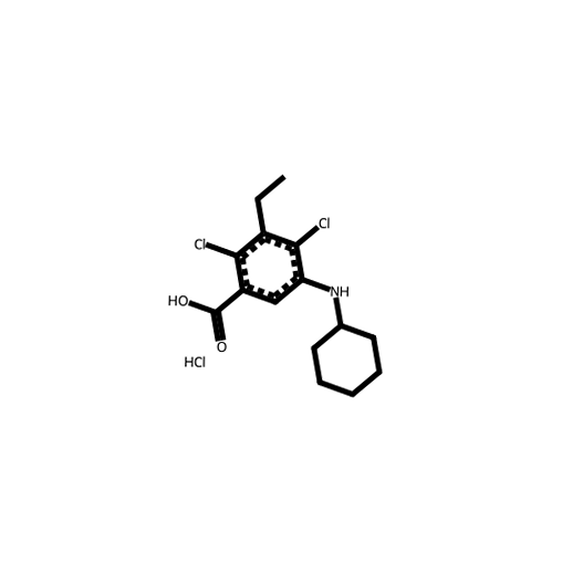 CCc1c(Cl)c(NC2CCCCC2)cc(C(=O)O)c1Cl.Cl